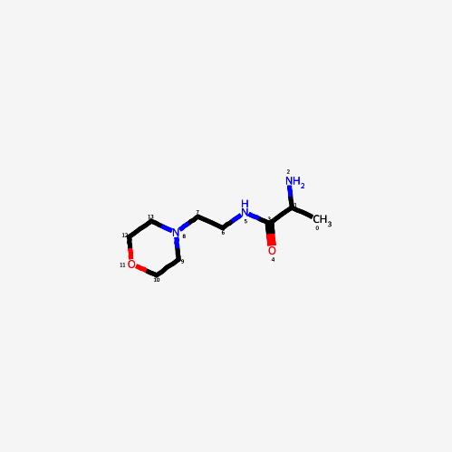 CC(N)C(=O)NCCN1CCOCC1